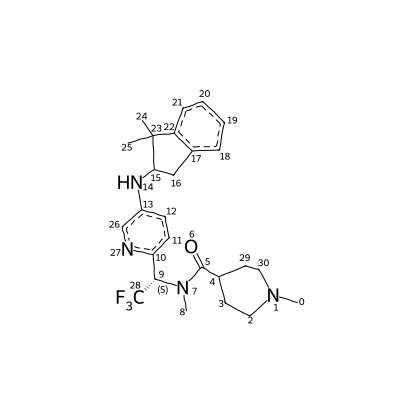 CN1CCC(C(=O)N(C)[C@@H](c2ccc(NC3Cc4ccccc4C3(C)C)cn2)C(F)(F)F)CC1